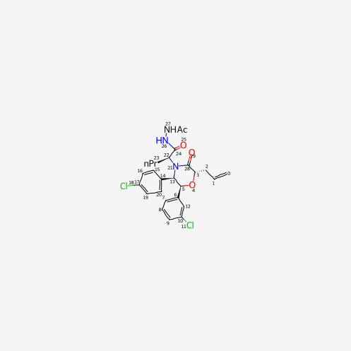 C=CC[C@@H]1O[C@@H](c2cccc(Cl)c2)[C@@H](c2ccc(Cl)cc2)N([C@@H](CCC)C(=O)NNC(C)=O)C1=O